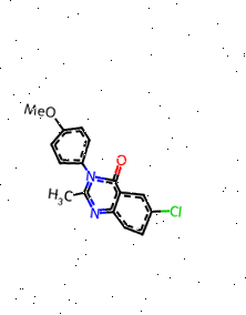 COc1ccc(-n2c(C)nc3ccc(Cl)cc3c2=O)cc1